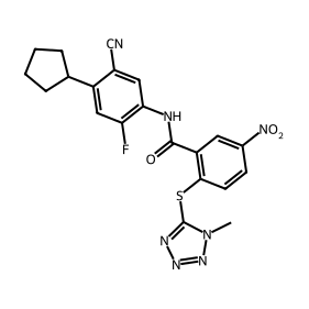 Cn1nnnc1Sc1ccc([N+](=O)[O-])cc1C(=O)Nc1cc(C#N)c(C2CCCC2)cc1F